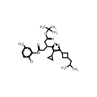 Cc1ccc(Cl)c(NC(=O)CC(CC(=O)OC(C)(C)C)c2noc(C3CC(CC(C)C)C3)c2C2CC2)c1